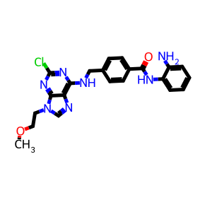 COCCn1cnc2c(NCc3ccc(C(=O)Nc4ccccc4N)cc3)nc(Cl)nc21